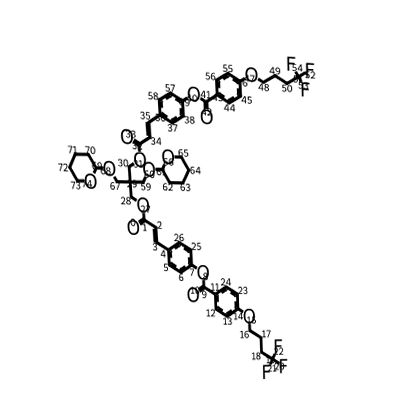 O=C(/C=C/c1ccc(OC(=O)c2ccc(OCCCC(F)(F)F)cc2)cc1)OCC(COC(=O)/C=C/c1ccc(OC(=O)c2ccc(OCCCC(F)(F)F)cc2)cc1)(COC1CCCCO1)COC1CCCCO1